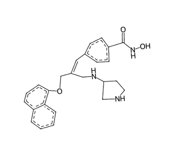 O=C(NO)c1ccc(C=C(CNC2CCNC2)COc2cccc3ccccc23)cc1